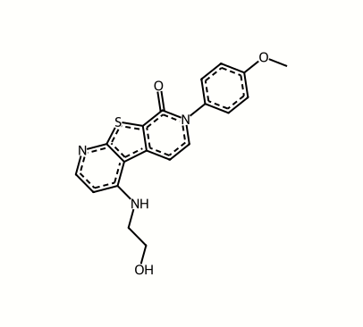 COc1ccc(-n2ccc3c(sc4nccc(NCCO)c43)c2=O)cc1